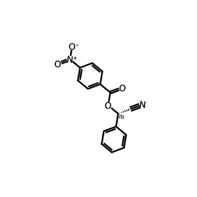 N#C[C@@H](OC(=O)c1ccc([N+](=O)[O-])cc1)c1ccccc1